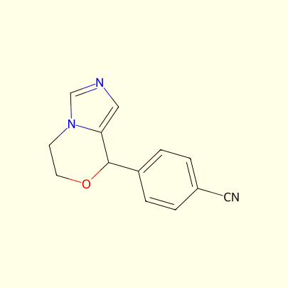 N#Cc1ccc(C2OCCn3cncc32)cc1